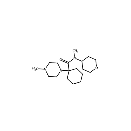 CN1CCN(C2(C(=O)N(C)C3CCOCC3)CCCCC2)CC1